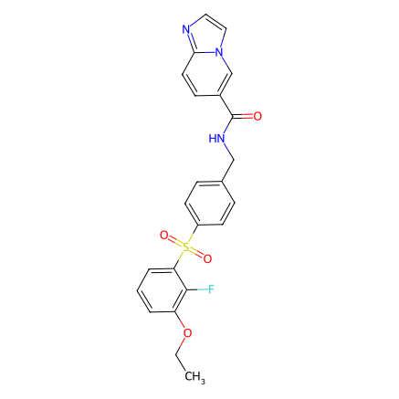 CCOc1cccc(S(=O)(=O)c2ccc(CNC(=O)c3ccc4nccn4c3)cc2)c1F